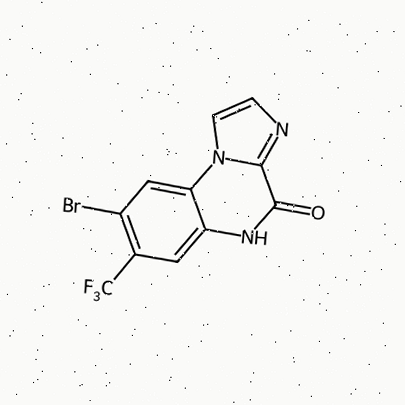 O=c1[nH]c2cc(C(F)(F)F)c(Br)cc2n2ccnc12